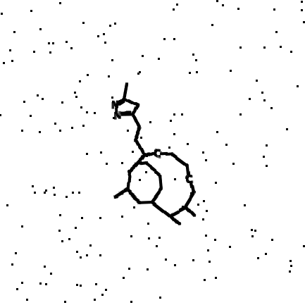 CC1=NN=C(CCC2CCCCCC(C)C(C)C3CCCC2CC(C)C3)C1